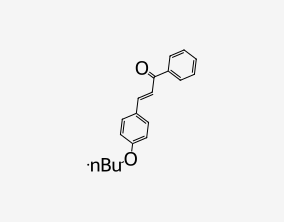 CCC[CH]Oc1ccc(/C=C/C(=O)c2ccccc2)cc1